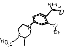 CCOc1cc(N2CCN(C(=O)O)C(C)C2)ccc1C(N)=O